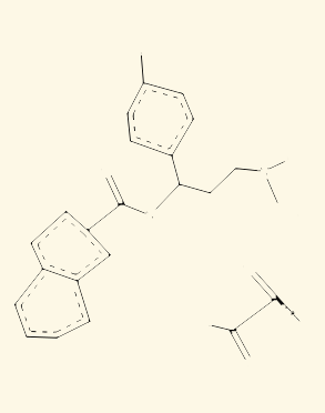 CN(C)CCC(NC(=O)c1ccc2ccccc2c1)c1ccc(Cl)cc1.O=C(O)C(=O)O